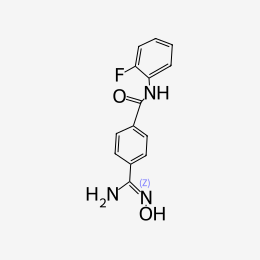 N/C(=N\O)c1ccc(C(=O)Nc2ccccc2F)cc1